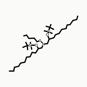 CCCCCCCCCCC(CN(CC(CCCCCCCCCC)O[Si](C)(C)C(C)(C)C)SCCCCC)O[Si](C)(C)C(C)(C)C